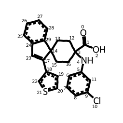 O=C(O)C1(Nc2cccc(Cl)c2)CCC2(CC1)C(c1ccsc1)=Cc1ccccc12